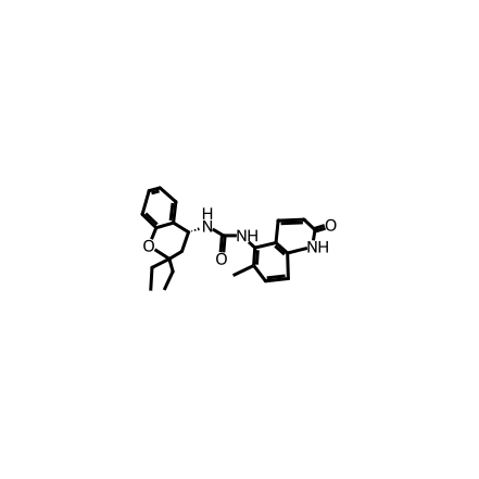 CCC1(CC)C[C@@H](NC(=O)Nc2c(C)ccc3[nH]c(=O)ccc23)c2ccccc2O1